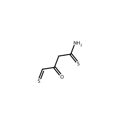 NC(=S)CC(=O)C=S